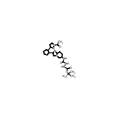 CC(=O)n1ccc(-c2ccccc2-c2cn3cc(NC(=O)NNC(=O)OC(C)(C)C)ccc3n2)n1